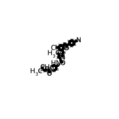 Cc1cc(C(=O)NCC2CCN(C(=O)OCC(C)C)CC2)nn1Cc1cc(Cl)cc2cc(-c3ccc(C#N)cc3)oc12